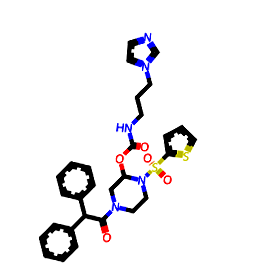 O=C(NCCCn1ccnc1)OC1CN(C(=O)C(c2ccccc2)c2ccccc2)CCN1S(=O)(=O)c1cccs1